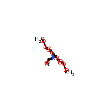 C=CC(=O)OCCCCCCOc1ccc(OC(=O)C2CCC(COc3ccc4c5ccc(OCC6CCC(C(=O)Oc7ccc(OCCCCCCOC(=O)C=C)cc7)CC6)cc5c5nc6cc(-c7cccc(OCCOCC)c7)ccc6nc5c4c3)CC2)cc1